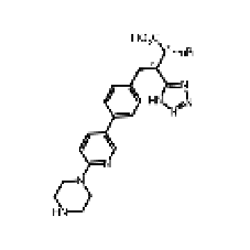 CCC[C@@H](C(=O)O)[C@H](Cc1ccc(-c2ccc(N3CCNCC3)nc2)cc1)c1nnn[nH]1